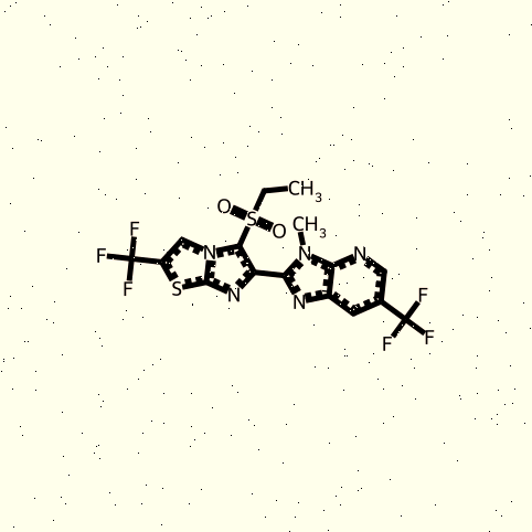 CCS(=O)(=O)c1c(-c2nc3cc(C(F)(F)F)cnc3n2C)nc2sc(C(F)(F)F)cn12